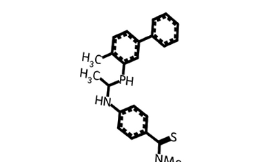 CNC(=S)c1ccc(NC(C)Pc2cc(-c3ccccc3)ccc2C)cc1